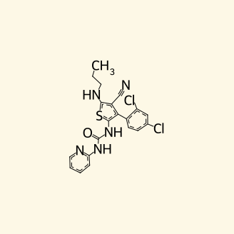 CCCNc1sc(NC(=O)Nc2ccccn2)c(-c2ccc(Cl)cc2Cl)c1C#N